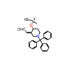 CC(C)(C)[Si](C)(C)OC1CCN(C(c2ccccc2)(c2ccccc2)c2ccccc2)C/C1=C/C=O